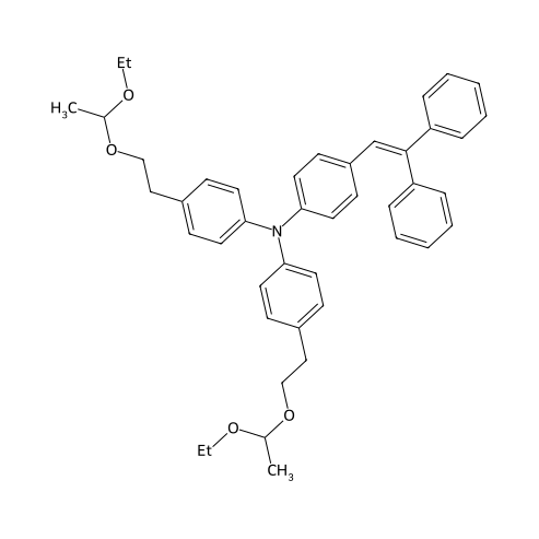 CCOC(C)OCCc1ccc(N(c2ccc(C=C(c3ccccc3)c3ccccc3)cc2)c2ccc(CCOC(C)OCC)cc2)cc1